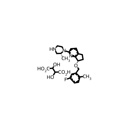 Cc1ccc(F)cc1CO[C@H]1CCc2ccc(N3CCNC[C@H]3C)nc21.O=C(O)C(O)C(O)C(=O)O